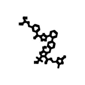 CCCc1nc(C(C)(C)O)c(C(=O)OCc2oc(=O)oc2C)n1Cc1ccc(-c2ccccc2-c2nnn(C(=O)c3cccc(CON(O)O)c3)n2)cc1